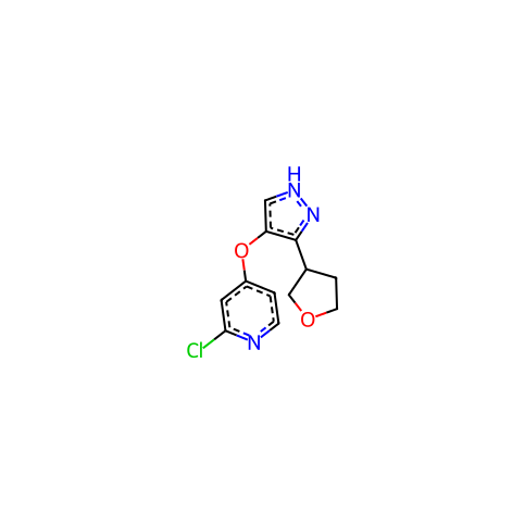 Clc1cc(Oc2c[nH]nc2C2CCOC2)ccn1